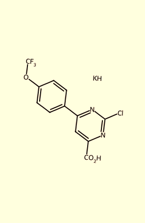 O=C(O)c1cc(-c2ccc(OC(F)(F)F)cc2)nc(Cl)n1.[KH]